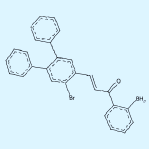 Bc1ccccc1C(=O)/C=C/c1cc(-c2ccccc2)c(-c2ccccc2)cc1Br